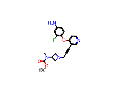 CN(C(=O)OC(C)(C)C)C1CN(CC#Cc2cnccc2Oc2ccc(N)cc2F)C1